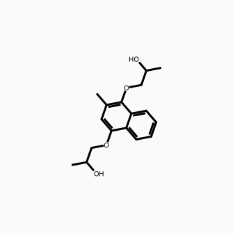 Cc1cc(OCC(C)O)c2ccccc2c1OCC(C)O